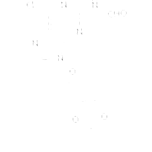 CC1(C)OC[C@@H](COn2cnc3c(Cl)nc(NC=O)nc32)O1